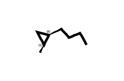 CCCC[C@@H]1C[C@@H]1C